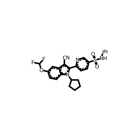 CC(C)NS(=O)(=O)c1ccc(-c2c(C#N)c3cc(OC(F)F)ccc3n2C2CCCC2)nc1